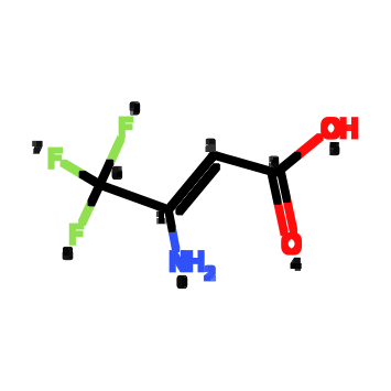 NC(=CC(=O)O)C(F)(F)F